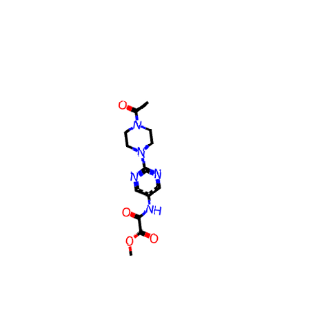 COC(=O)C(=O)Nc1cnc(N2CCN(C(C)=O)CC2)nc1